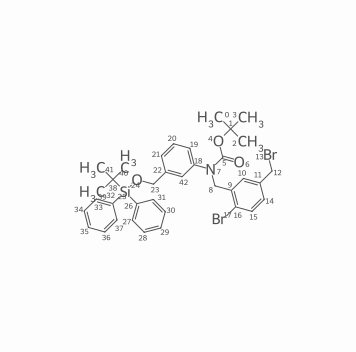 CC(C)(C)OC(=O)N(Cc1cc(CBr)ccc1Br)c1cccc(CO[Si](c2ccccc2)(c2ccccc2)C(C)(C)C)c1